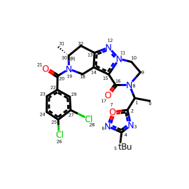 CC(c1nc(C(C)(C)C)no1)N1CCn2nc3c(c2C1=O)CN(C(=O)c1ccc(Cl)c(Cl)c1)[C@H](C)C3